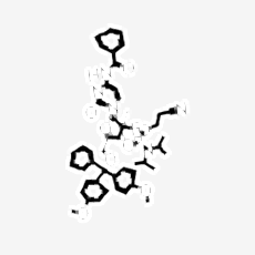 COc1ccc(C(OC[C@H]2O[C@@H](n3ccc(NC(=O)c4ccccc4)nc3=O)[C@@](C)(F)[C@@H]2OP(OCCC#N)N(C(C)C)C(C)C)(c2ccccc2)c2ccc(OC)cc2)cc1